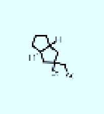 CCC1(CC(C)=O)C[C@H]2CCC[C@@H]2C1